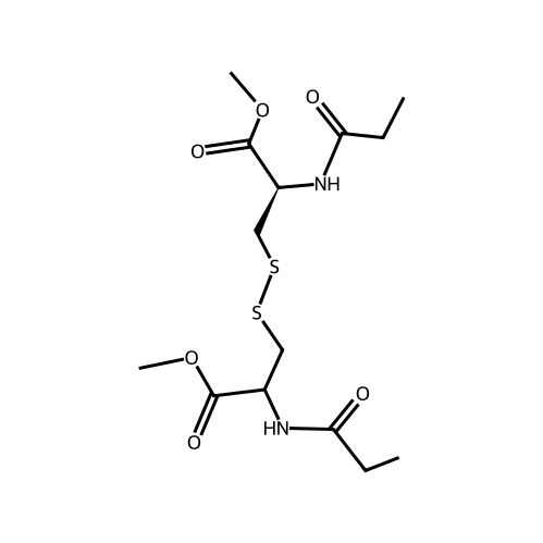 CCC(=O)NC(CSSC[C@H](NC(=O)CC)C(=O)OC)C(=O)OC